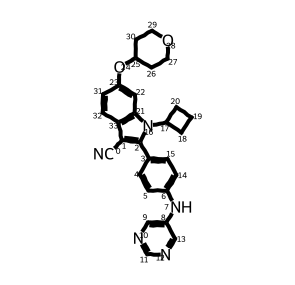 N#Cc1c(-c2ccc(Nc3cncnc3)cc2)n(C2CCC2)c2cc(OC3CCOCC3)ccc12